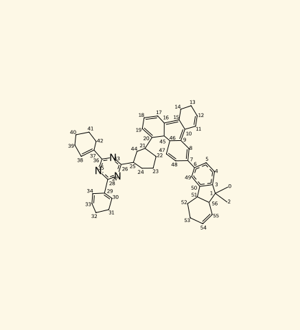 CC1(C)c2ccc(C3=CC4=C5C=CCCC5=C5C=CC=C(C6CCCC(c7nc(C8=CCCC=C8)nc(C8=CCCCC8)n7)C6)C5C4C=C3)cc2C2CCC=CC21